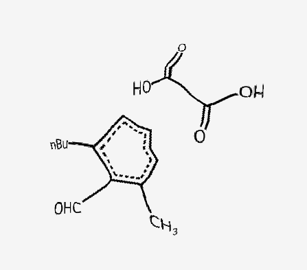 CCCCc1cccc(C)c1C=O.O=C(O)C(=O)O